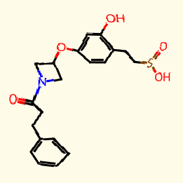 O=C(CCc1ccccc1)N1CC(Oc2ccc(CCS(=O)O)c(O)c2)C1